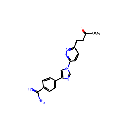 COC(=O)CCc1ccc(-n2cnc(-c3ccc(C(=N)N)cc3)c2)nn1